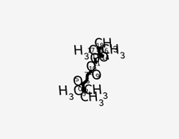 CC(C)(C)C(=O)CCC(=O)OCOC(=O)C(C)(C)C